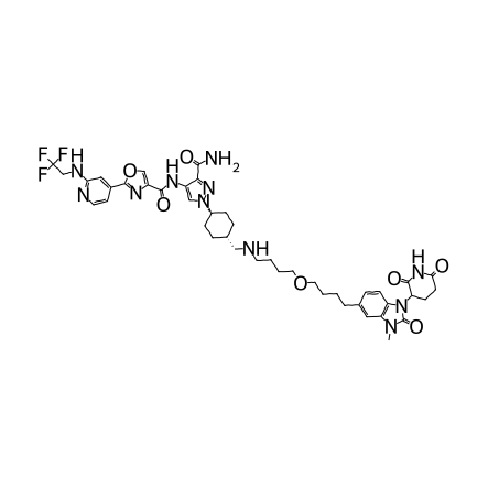 Cn1c(=O)n(C2CCC(=O)NC2=O)c2ccc(CCCCOCCCCNC[C@H]3CC[C@H](n4cc(NC(=O)c5coc(-c6ccnc(NCC(F)(F)F)c6)n5)c(C(N)=O)n4)CC3)cc21